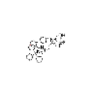 CCCCc1nc(C(F)(F)F)c(CO)n1Cc1ccc(-c2ccccc2-c2nnnn2C(c2ccccc2)(c2ccccc2)c2ccccc2)cc1